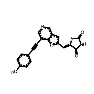 O=C1NC(=O)/C(=C/c2cc3cncc(C#Cc4ccc(O)cc4)c3o2)S1